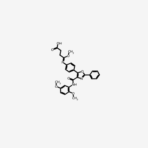 COC(CCC(=O)O)=Nc1ccc(-c2oc(-c3ccccc3)nc2C(=O)Nc2cc(OC)ccc2OC)cc1